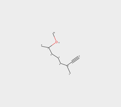 [C]#CC(C)CCCC(C)OC